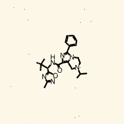 Cc1noc(C(NC(=O)c2nc(-c3ccccc3)n3c2CN(C(C)C)CC3)C(C)(C)C)n1